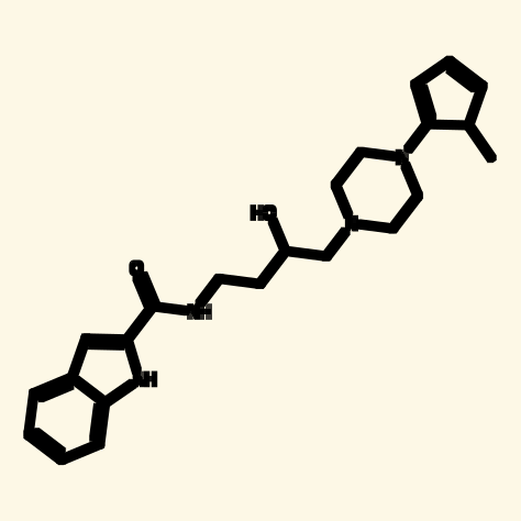 CC1C=CC=C1N1CCN(CC(O)CCNC(=O)c2cc3ccccc3[nH]2)CC1